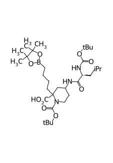 CC(C)C[C@H](NC(=O)OC(C)(C)C)C(=O)NC1CCN(C(=O)OC(C)(C)C)C(CCCCB2OC(C)(C)C(C)(C)O2)(C(=O)O)C1